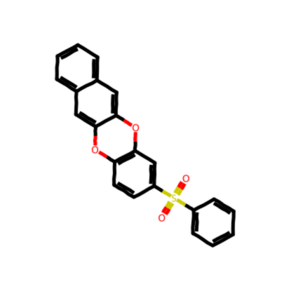 O=S(=O)(c1ccccc1)c1ccc2c(c1)Oc1cc3ccccc3cc1O2